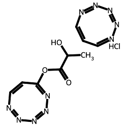 C1=CN=NN=NN=C1.CC(O)C(=O)OC1=NN=NN=NC=C1.Cl